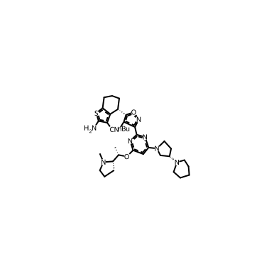 CCCCc1c(-c2nc(O[C@@H](C)[C@@H]3CCCN3C)cc(N3CC[C@H](N4CCCCC4)C3)n2)noc1[C@H]1CCCc2sc(N)c(C#N)c21